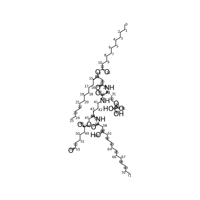 CCCCCCCCCCCC(=O)O[C@H](CCCCCCCCCCC)CC(=O)N[C@H](CCOP(=O)(O)O)C(=O)NCCC[C@H](COC(=O)CCCCC=O)NC(=O)C[C@H](O)CCCCCCCCCCC